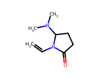 C=CN1C(=O)CCC1N(C)C